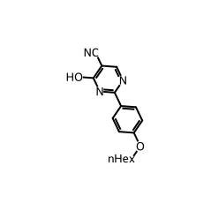 CCCCCCOc1ccc(-c2ncc(C#N)c(O)n2)cc1